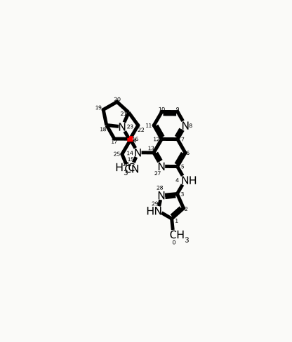 Cc1cc(Nc2cc3ncccc3c(N(C)C3CC4CCC(C3)N4CCC#N)n2)n[nH]1